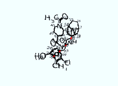 CC(=O)N1CCC(C(=O)N(CCCN2C3CCC2CC(NC(=O)Cc2ccc(O)cc2)C3)c2ccc(C)c(Cl)c2)CC1